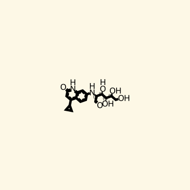 O=C[C@@H](Nc1ccc2c(C3CC3)cc(=O)[nH]c2c1)[C@H](O)[C@@H](O)[C@@H](O)CO